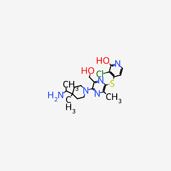 Cc1nc(N2CCC(C)(C(C)N)CC2)c(CO)nc1Sc1ccnc(O)c1Cl